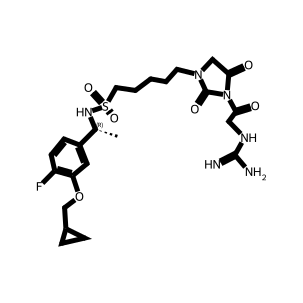 C[C@@H](NS(=O)(=O)CCCCCN1CC(=O)N(C(=O)CNC(=N)N)C1=O)c1ccc(F)c(OCC2CC2)c1